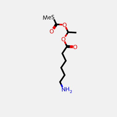 CSC(=O)OC(C)OC(=O)CCCCCN